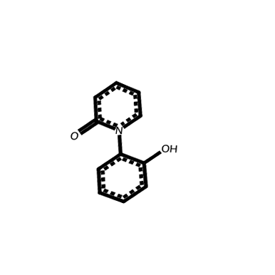 O=c1ccccn1-c1ccccc1O